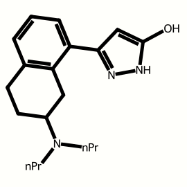 CCCN(CCC)C1CCc2cccc(-c3cc(O)[nH]n3)c2C1